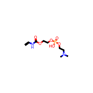 C=CNC(=O)OCCOP(=O)(O)OCCN(C)C